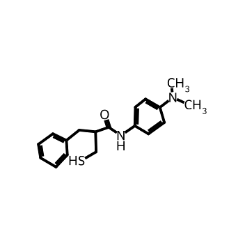 CN(C)c1ccc(NC(=O)C(CS)Cc2ccccc2)cc1